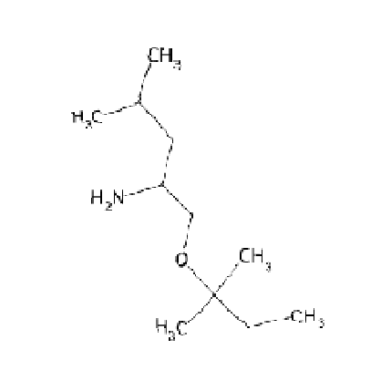 CCC(C)(C)OCC(N)CC(C)C